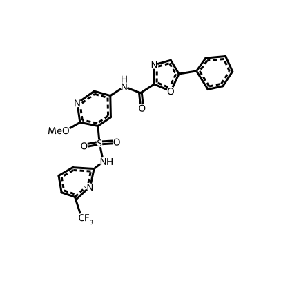 COc1ncc(NC(=O)c2ncc(-c3ccccc3)o2)cc1S(=O)(=O)Nc1cccc(C(F)(F)F)n1